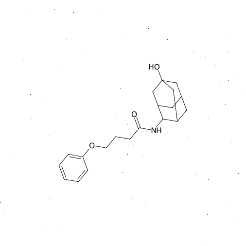 O=C(CCCOc1ccccc1)NC1C2CC3CC1CC(O)(C3)C2